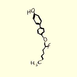 CCCCCC(F)COc1ccc(-c2ccc(O)cc2)cc1